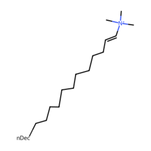 CCCCCCCCCCCCCCCCCCCCC=C[N+](C)(C)C